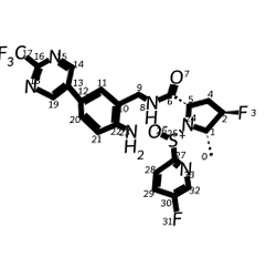 C[C@H]1[C@H](F)C[C@@H](C(=O)NCc2cc(-c3cnc(C(F)(F)F)nc3)ccc2N)N1[S+]([O-])c1ccc(F)cn1